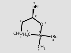 CCC[C@H](CC=O)O[Si](C)(C)C(C)(C)C